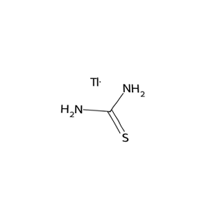 NC(N)=S.[Tl]